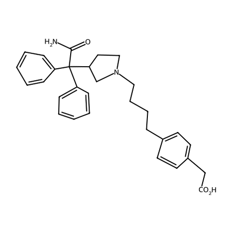 NC(=O)C(c1ccccc1)(c1ccccc1)C1CCN(CCCCc2ccc(CC(=O)O)cc2)C1